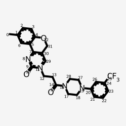 Cc1ccc2c(c1)-c1nc(=O)n(CCC(=O)N3CCN(c4cccc(C(F)(F)F)c4)CC3)cc1CO2